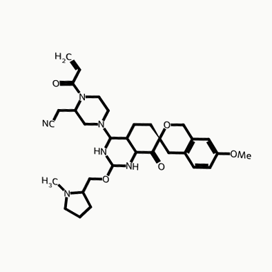 C=CC(=O)N1CCN(C2NC(OCC3CCCN3C)NC3C(=O)[C@@]4(CCC32)Cc2ccc(OC)cc2CO4)CC1CC#N